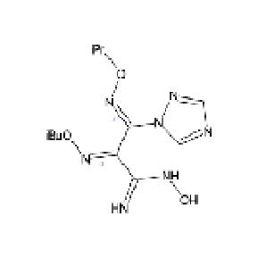 CC(C)CO/N=C(C(=N)NO)\C(=N\OC(C)C)n1cncn1